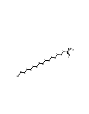 NC(=O)CCCCCCCCCCCCCCCI